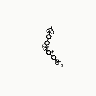 CC1COC(C2CCC(C3CCC(C(F)(F)Oc4ccc(-c5ccc(OC(F)(F)F)cc5)c(F)c4)CC3)CC2)OC1